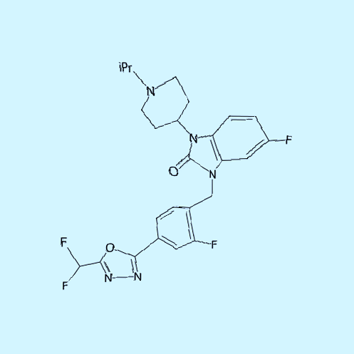 CC(C)N1CCC(n2c(=O)n(Cc3ccc(-c4nnc(C(F)F)o4)cc3F)c3cc(F)ccc32)CC1